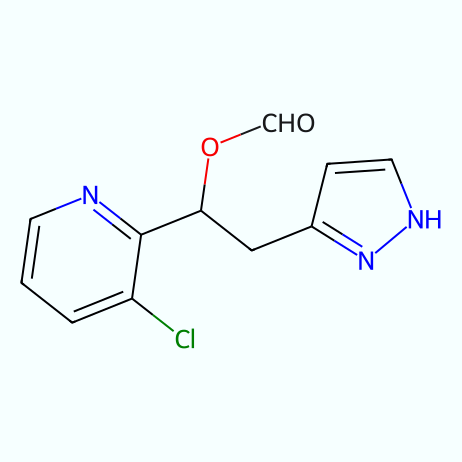 O=COC(Cc1cc[nH]n1)c1ncccc1Cl